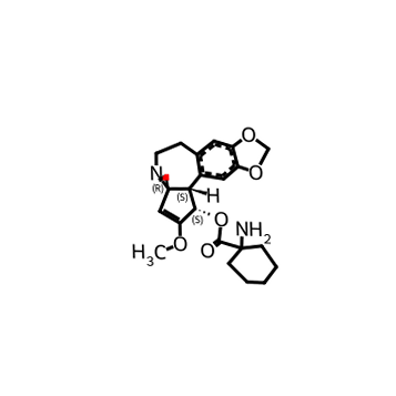 COC1=C[C@]23CCCN2CCc2cc4c(cc2[C@@H]3[C@@H]1OC(=O)C1(N)CCCCC1)OCO4